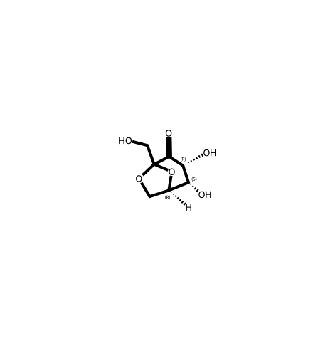 O=C1[C@H](O)[C@H](O)[C@H]2COC1(CO)O2